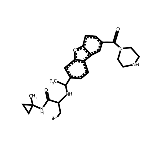 CC(C)CC(NC(c1ccc2c(c1)oc1ccc(C(=O)N3CCNCC3)cc12)C(F)(F)F)C(=O)NC1(C)CC1